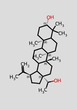 C=C(C)[C@@H]1CC[C@]2(C(C)O)CC[C@]3(C)C(CCC4[C@@]5(C)CC[C@H](O)C(C)(C)C5CC[C@]43C)C12